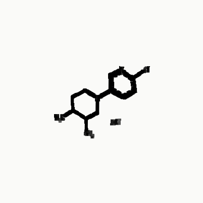 CC1CCN(c2ccc(Cl)nc2)CC1N.Cl